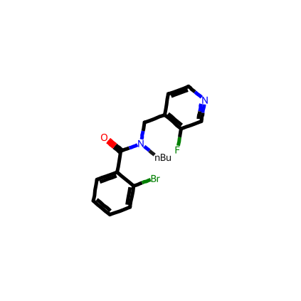 CCCCN(Cc1ccncc1F)C(=O)c1ccccc1Br